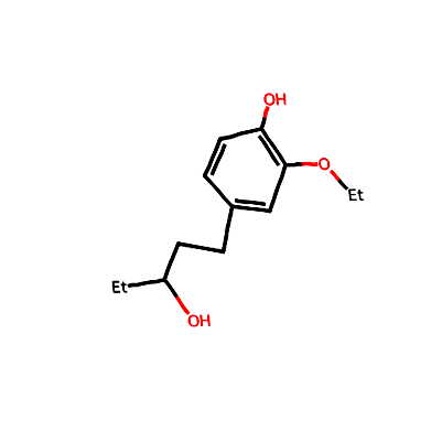 CCOc1cc(CCC(O)CC)ccc1O